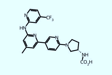 Cc1cc(Nc2cc(C(F)(F)F)ccn2)nc(-c2ccc(N3CC[C@H](NC(=O)O)C3)nc2)c1